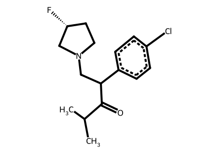 CC(C)C(=O)C(CN1CC[C@@H](F)C1)c1ccc(Cl)cc1